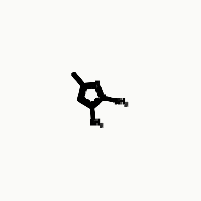 Cc1cc(N)n(N)n1